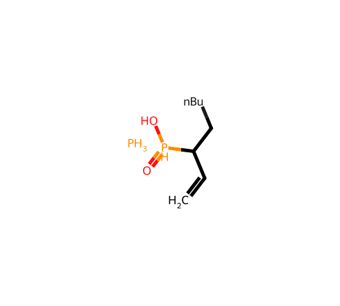 C=CC(CCCCC)[PH](=O)O.P